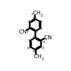 [C-]#[N+]c1cc(C)ccc1-c1ccc(C)cc1C#N